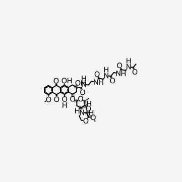 COc1cccc2c1C(=O)c1c(O)c3c(c(O)c1C2=O)C[C@@](O)(C(=O)NCCNC(=O)CNC(=O)CNC(=O)CNC(C)=O)C[C@@H]3O[C@H]1C[C@H]2[C@H](O[C@@H]3[C@@H](OC)OCCN32)[C@H](C)O1